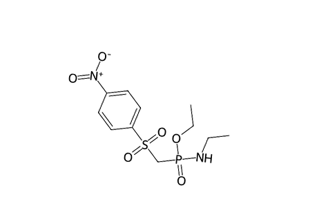 CCNP(=O)(CS(=O)(=O)c1ccc([N+](=O)[O-])cc1)OCC